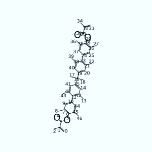 C=C(C)C(=O)Oc1c(C)cc(-c2c(C)cc(C(C)(C)c3cc(C)c(-c4cc(C)c(OC(=O)C(=C)C)c(C)c4)c(C)c3)cc2C)cc1C